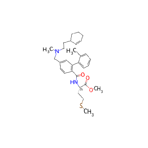 COC(=O)[C@H](CCSC)NC(=O)c1ccc(CN(C)CCC2C=CCCC2)cc1-c1ccccc1C